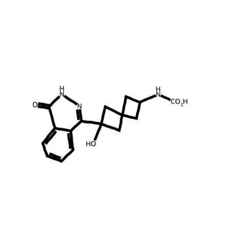 O=C(O)NC1CC2(C1)CC(O)(c1n[nH]c(=O)c3ccccc13)C2